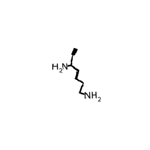 C#CC(N)/C=C/CCN